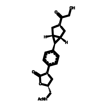 CC(=O)NC[C@H]1CN(c2ccc([C@H]3[C@@H]4CN(C(=O)CO)C[C@@H]43)cc2)C(=O)O1